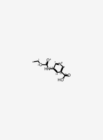 CCOC(=O)Nc1cncc(C(=O)O)c1